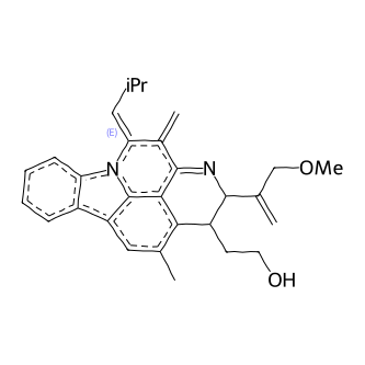 C=C(COC)C1N=c2c(=C)/c(=C\C(C)C)n3c4ccccc4c4cc(C)c(c2c43)C1CCO